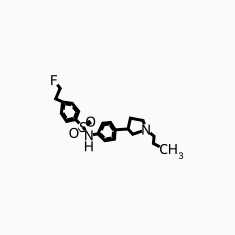 CCCN1CCC(c2ccc(NS(=O)(=O)c3ccc(CCF)cc3)cc2)C1